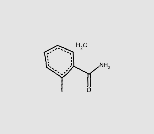 Cc1ccccc1C(N)=O.O